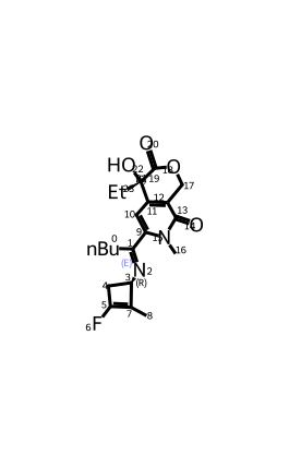 CCCC/C(=N\[C@@H]1CC(F)=C1C)c1cc2c(c(=O)n1C)COC(=O)[C@]2(O)CC